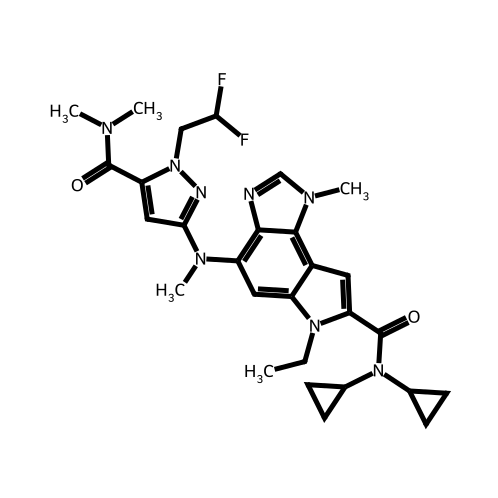 CCn1c(C(=O)N(C2CC2)C2CC2)cc2c3c(ncn3C)c(N(C)c3cc(C(=O)N(C)C)n(CC(F)F)n3)cc21